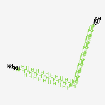 F.F.F.F.F.F.F.F.F.F.F.F.F.F.F.F.F.F.F.F.F.F.F.F.F.F.F.F.F.F.F.F.F.F.F.F.F.F.F.F.F.F.F.F.F.F.F.F.F.F.[KH].[KH].[KH].[KH].[KH].[KH].[KH]